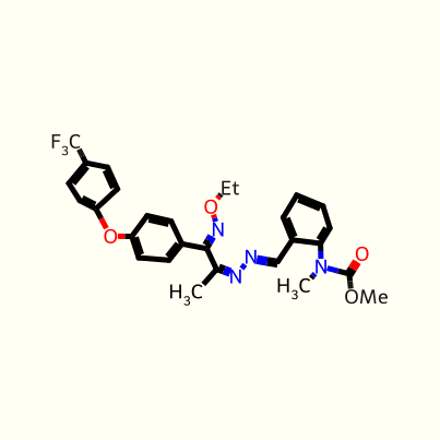 CCON=C(C(C)=NN=Cc1ccccc1N(C)C(=O)OC)c1ccc(Oc2ccc(C(F)(F)F)cc2)cc1